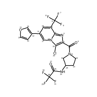 O=C(c1nc2c(C(F)(F)F)cc(-c3ccoc3)cn2c1Cl)N1CCC(NC(=O)C(F)(F)F)C1